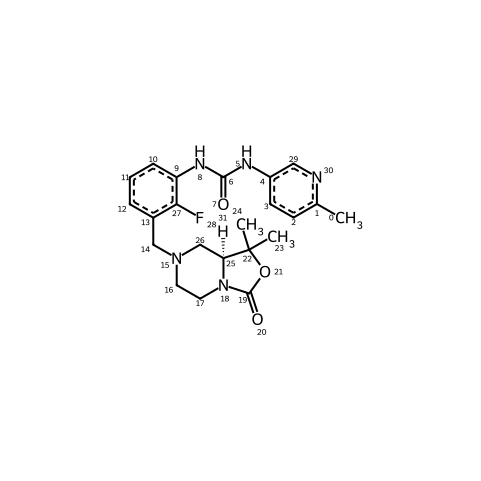 Cc1ccc(NC(=O)Nc2cccc(CN3CCN4C(=O)OC(C)(C)[C@@H]4C3)c2F)cn1